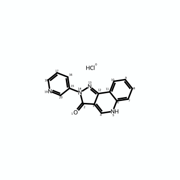 Cl.O=c1c2c[nH]c3ccccc3c-2nn1-c1cccnc1